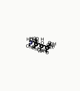 CCCC(=O)/C(C)=C/C(Cc1cc(C(=O)CCC)cc(Cc2cc(C(=O)CCC)cc(Cc3cc(C(=O)CCC)cc(CC)c3OP(=O)(O)O)c2O)c1OP(=O)(O)O)=C(\C)O